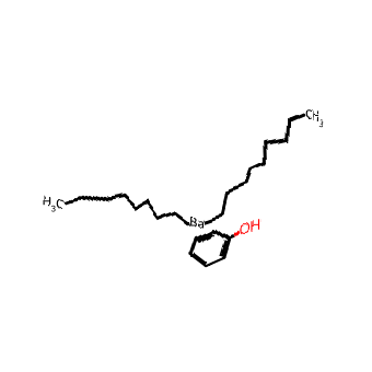 CCCCCCCC[CH2][Ba][CH2]CCCCCCCC.Oc1ccccc1